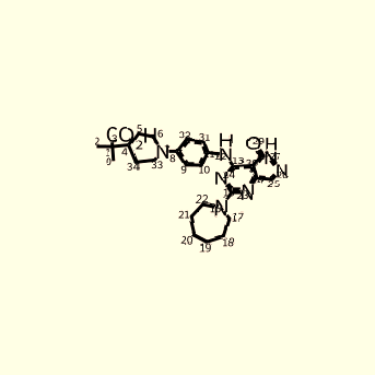 CC(C)(C(=O)O)C1CCN(c2ccc(Nc3nc(N4CCCCCC4)nc4cn[nH]c(=O)c34)cc2)CC1